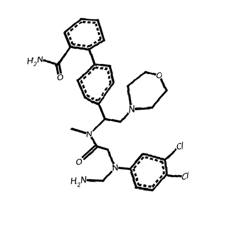 CN(C(=O)CN(CN)c1ccc(Cl)c(Cl)c1)C(CN1CCOCC1)c1ccc(-c2ccccc2C(N)=O)cc1